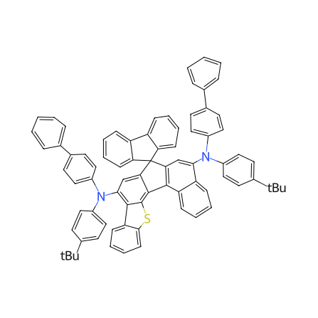 CC(C)(C)c1ccc(N(c2ccc(-c3ccccc3)cc2)c2cc3c(c4ccccc24)-c2c(cc(N(c4ccc(-c5ccccc5)cc4)c4ccc(C(C)(C)C)cc4)c4c2sc2ccccc24)C32c3ccccc3-c3ccccc32)cc1